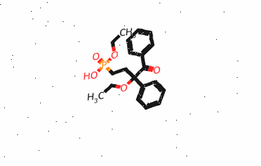 CCOC(CCP(=O)(O)OCC)(C(=O)c1ccccc1)c1ccccc1